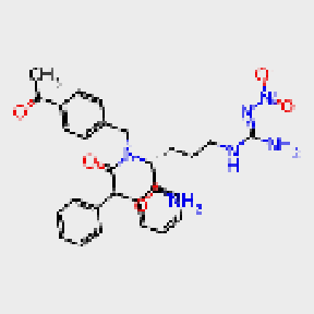 CC(=O)c1ccc(CN(C(=O)C(c2ccccc2)c2ccccc2)[C@H](CCCNC(N)=N[N+](=O)[O-])C(N)=O)cc1